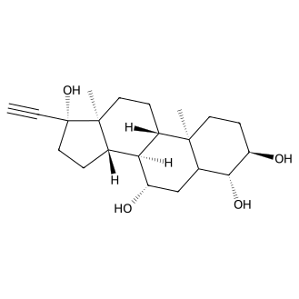 C#C[C@]1(O)CC[C@H]2[C@@H]3[C@@H](O)CC4[C@@H](O)[C@H](O)CC[C@]4(C)[C@H]3CC[C@@]21C